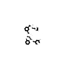 Cc1csc(CN(C)C(=O)c2cccc(C(=O)N[C@@H](Cc3ccccc3)[C@H](O)CNCc3cncc(C(C)(C)C)c3)c2)n1